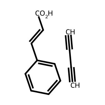 C#CC#C.O=C(O)C=Cc1ccccc1